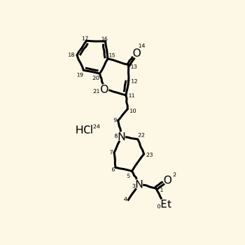 CCC(=O)N(C)C1CCN(CCc2cc(=O)c3ccccc3o2)CC1.Cl